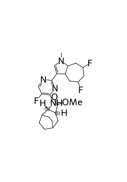 COC(=O)[C@H]1CC2CCC(CC2)[C@@H]1Nc1nc(C2=CN(C)C3CC(F)CC(F)CC23)ncc1F